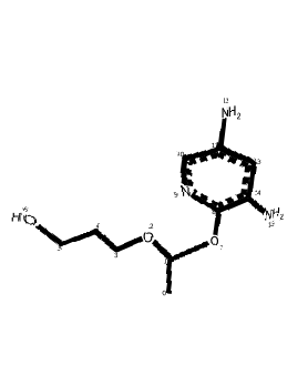 CC(OCCCO)Oc1ncc(N)cc1N